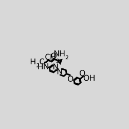 C=C(/C=C(\ON)C1CC1)C(=C)Nc1ccc(N2CCC(COc3cccc(C(=O)O)c3)CC2)nc1